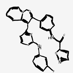 O=C(Nc1cccc(-c2nn3ccccc3c2-c2ccnc(Nc3cccc(F)c3)n2)c1)c1ccno1